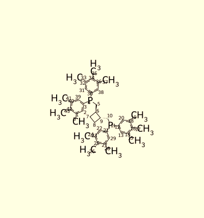 Cc1cc(P(C[C@@H]2CC[C@H]2CP(c2cc(C)c(C)c(C)c2)c2cc(C)c(C)c(C)c2)c2cc(C)c(C)c(C)c2)cc(C)c1C